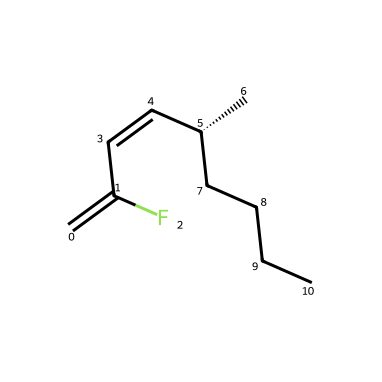 C=C(F)/C=C\[C@H](C)CCCC